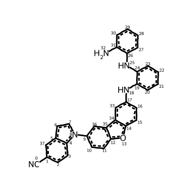 N#Cc1ccc2c(ccn2-c2ccc3oc4ccc(Nc5ccccc5Nc5ccccc5N)cc4c3c2)c1